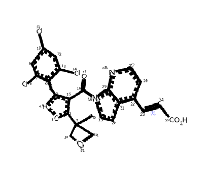 CC1(c2onc(-c3c(Cl)cc(Cl)cc3Cl)c2C(=O)n2ccc3c(/C=C/C(=O)O)ccnc32)COC1